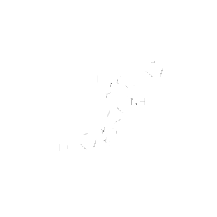 COC(=O)C(c1ccc(OS(=O)(=O)c2ccc(C)cc2)cc1)C(N)C(=O)OCc1ccccc1